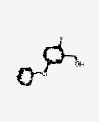 OCc1cc(Oc2ccccc2)ccc1F